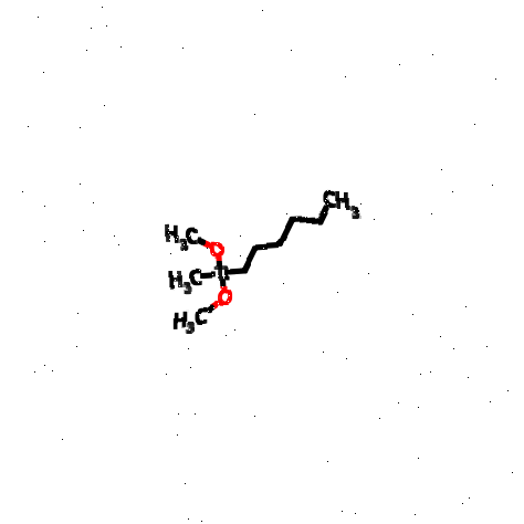 CCCCC[CH2][Ti]([CH3])([O]C)[O]C